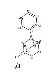 ClC[N+]12CCN(CC1)C(c1ccccc1)C2